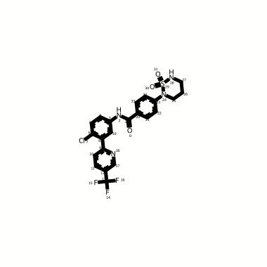 O=C(Nc1ccc(Cl)c(-c2ccc(C(F)(F)F)cn2)c1)c1ccc(N2CCCNS2(=O)=O)cc1